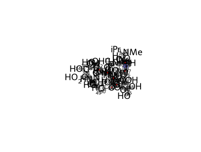 CN[C@H](CC(C)C)C(=O)N[C@H]1C(=O)N[C@@H](CC=O)C(=O)N[C@H]2C(=O)N[C@H]3C(=O)N[C@H](C(=O)N[C@H](C(=O)O)c4cc(O)cc(O)c4-c4cc3ccc4O)[C@H](O)c3ccc(cc3)Oc3cc2cc(c3O[C@@H]2O[C@H](CO)[C@@H](O)[C@H](O)[C@H]2O[C@H]2C[C@](C)(NC(=O)OC3CC/C=C/CCC3)[C@@H](O)[C@H](C)O2)Oc2ccc(cc2Cl)[C@H]1O